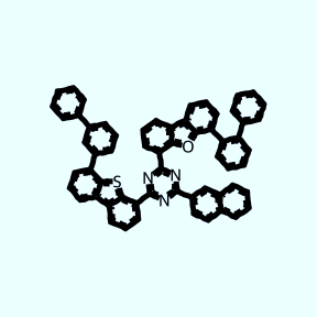 c1ccc(-c2cccc(-c3cccc4c3sc3c(-c5nc(-c6ccc7ccccc7c6)nc(-c6cccc7c6oc6c(-c8ccccc8-c8ccccc8)cccc67)n5)cccc34)c2)cc1